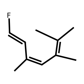 CC(C)=C(C)/C=C(C)\C=C\F